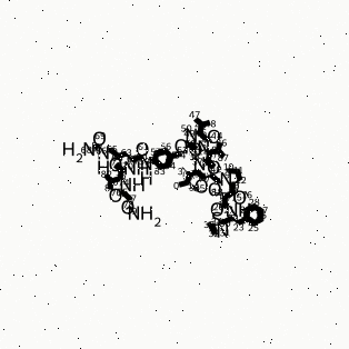 CC[C@H](C)[C@@H]([C@@H](CC(=O)N1CCC[C@H]1[C@H](OC)[C@@H](C)C(=O)N[C@@H](Cc1ccccc1)c1nccs1)OC)N(C)C(=O)[C@@H](NC(=O)C(C(C)C)N(C)C(=O)OCc1ccc(NC(=O)[C@H](CCCNC(N)=O)NC(=O)C(NC(=O)CON)C(C)C)cc1)C(C)C